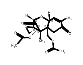 CC(=O)OC[C@]12CC(=O)C(C)=C[C@H]1O[C@@H]1C(=O)[C@@H](OC(C)=O)[C@@]2(C)[C@]12CO2